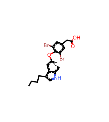 CCCCc1c[nH]c2ccc(Oc3c(Br)cc(CC(=O)O)cc3Br)cc12